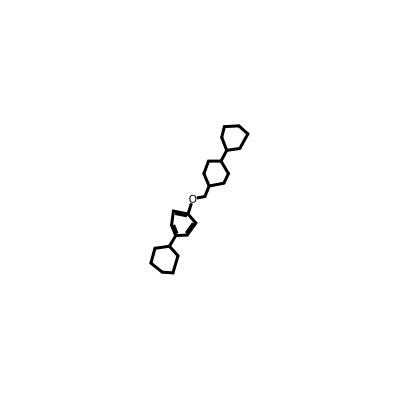 c1cc(C2CCCCC2)ccc1OCC1CCC(C2CCCCC2)CC1